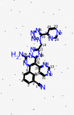 N#Cc1cccc(-c2nc(N)n3nc(Cn4nnnc4-c4ccncn4)nc3c2-c2ccncn2)c1